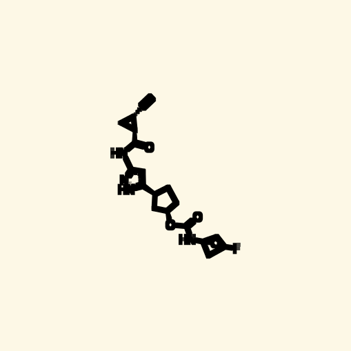 C#C[C@H]1C[C@@H]1C(=O)Nc1cc([C@H]2CC[C@@H](OC(=O)NC34CC(F)(C3)C4)C2)[nH]n1